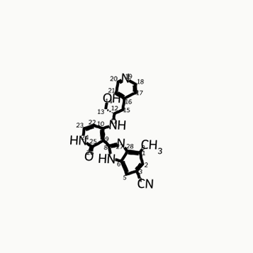 Cc1cc(C#N)cc2[nH]c(-c3c(N[C@H](CO)Cc4ccncc4)cc[nH]c3=O)nc12